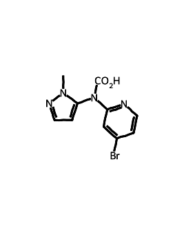 Cn1nccc1N(C(=O)O)c1cc(Br)ccn1